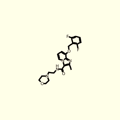 Cc1nc2c(OCc3c(F)cccc3F)cccn2c1C(=O)NCCN1CCOCC1